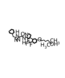 CC(C)(O)CCCCOc1ccc(C(F)(F)F)c(-c2ccnc(NC(=O)c3nnc(Cc4ccccc4)[nH]3)c2)c1